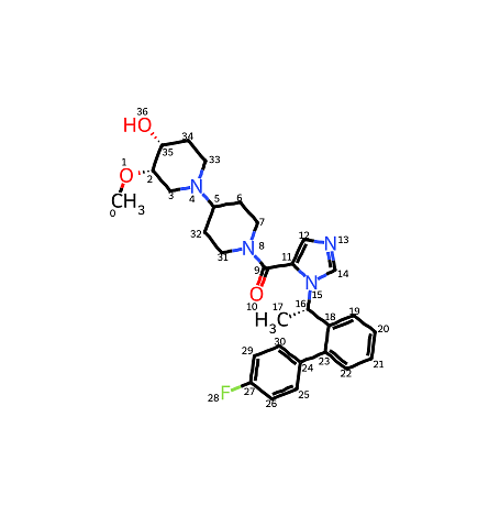 CO[C@H]1CN(C2CCN(C(=O)c3cncn3[C@@H](C)c3ccccc3-c3ccc(F)cc3)CC2)CC[C@H]1O